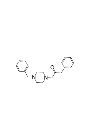 O=C(Cc1ccccc1)CN1CCN(Cc2ccccc2)CC1